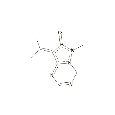 CC(C)=c1c(=O)n(C)n2c1=NC=NC2